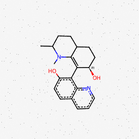 CC1CCC2CC[C@@H](O)C(c3c(O)ccc4cccnc34)=C2N1C